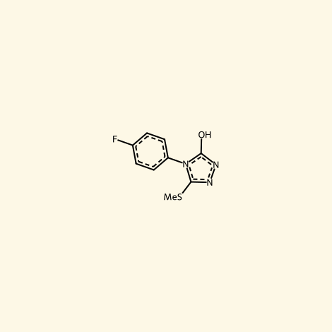 CSc1nnc(O)n1-c1ccc(F)cc1